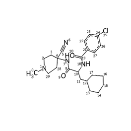 CN1CCC(C#N)(NC(=O)C(CC2CCCCC2)NC(=O)c2ccc(Cl)cc2)CC1